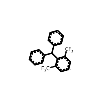 FC(F)(F)c1c[c]cc(C(F)(F)F)c1C(c1ccccc1)c1ccccc1